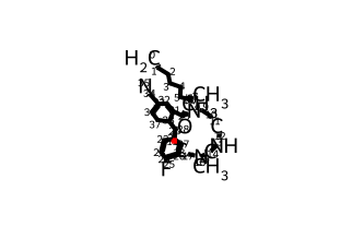 C=CCCCC[C@@H](C)N1CCCCNCN(C)CCCC2(c3ccc(F)cc3)OC1(C)C1=CC(C#N)=CCC12